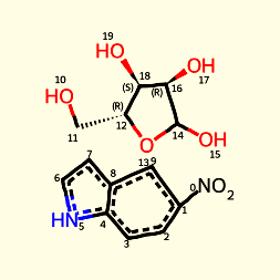 O=[N+]([O-])c1ccc2[nH]ccc2c1.OC[C@H]1OC(O)[C@H](O)[C@@H]1O